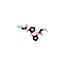 C=CC(=O)OC1=C(OC2=C(OC(=O)C=C)CCC2)CCC1